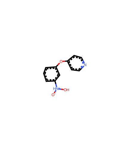 [O-][NH+](O)c1cccc(Oc2ccncc2)c1